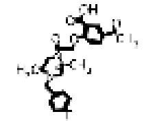 CC(=O)c1ccc(OCC(=O)N2C[C@@H](C)N(Cc3ccc(F)cc3)C[C@@H]2C)c(C(=O)O)c1